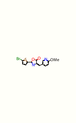 COc1ccc(C=C2N=C(c3ccc(Br)s3)OC2=O)cn1